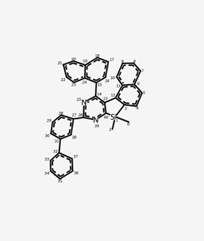 C[Si]1(C)c2ccc3ccccc3c2-c2c(-c3cccc4ccccc34)nc(-c3cccc(-c4ccccc4)c3)nc21